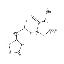 CC(CN(CC(=O)O)C(=O)OC(C)(C)C)N[C@@H]1CCOC1